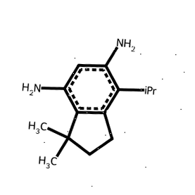 CC(C)c1c(N)cc(N)c2c1CCC2(C)C